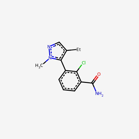 CCc1cnn(C)c1-c1cccc(C(N)=O)c1Cl